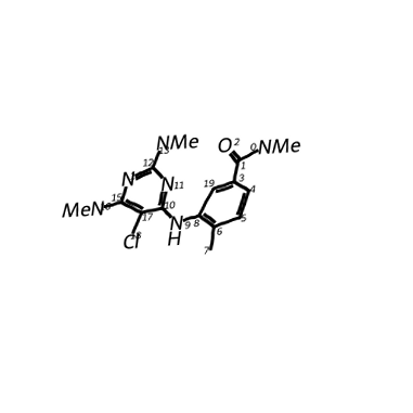 CNC(=O)c1ccc(C)c(Nc2nc(NC)nc(NC)c2Cl)c1